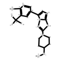 COC1CCN(c2nn3c(-c4cnc(N)c(C(F)(F)F)c4)cnc3s2)CC1